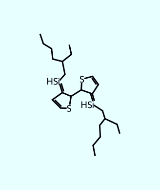 CCCCC(CC)C[SiH]=C1C=CSC1C1SC=CC1=[SiH]CC(CC)CCCC